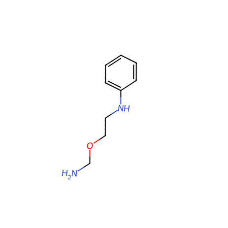 NCOCCNc1ccccc1